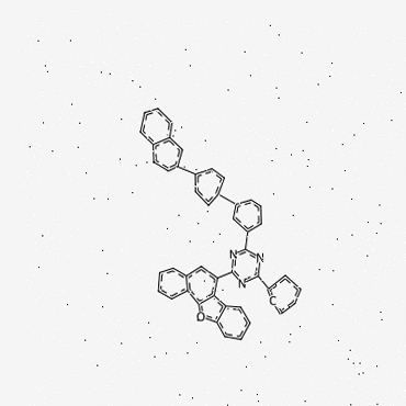 c1ccc(-c2nc(-c3cccc(-c4ccc(-c5ccc6ccccc6c5)cc4)c3)nc(-c3cc4ccccc4c4oc5ccccc5c34)n2)cc1